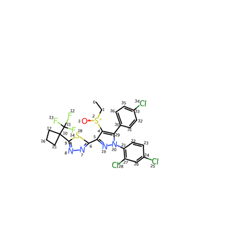 CC[S+]([O-])c1c(-c2nnc(C3(C(F)(F)F)CCC3)s2)nn(-c2ccc(Cl)cc2Cl)c1-c1ccc(Cl)cc1